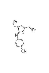 CC(C)Cc1cn(CC(C)C)c(=Nc2ccc(C#N)cc2)s1